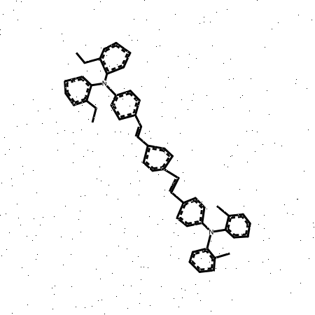 CCc1ccccc1N(c1ccc(C=Cc2ccc(C=Cc3ccc(N(c4ccccc4C)c4ccccc4C)cc3)cc2)cc1)c1ccccc1CC